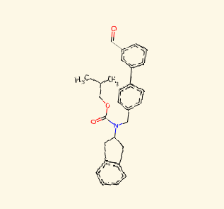 CC(C)COC(=O)N(Cc1ccc(-c2cccc(C=O)c2)cc1)C1Cc2ccccc2C1